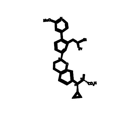 CCN(Cc1cc([C@@H]2CCc3ccc([C@H](C4CC4)[C@H](C)C(=O)O)cc3O2)ccc1-c1ccnc(OC)c1)C(C)C